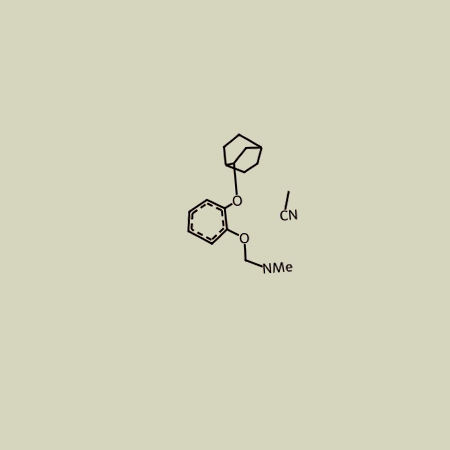 CC#N.CNCOc1ccccc1OC1CC2CCC1CC2